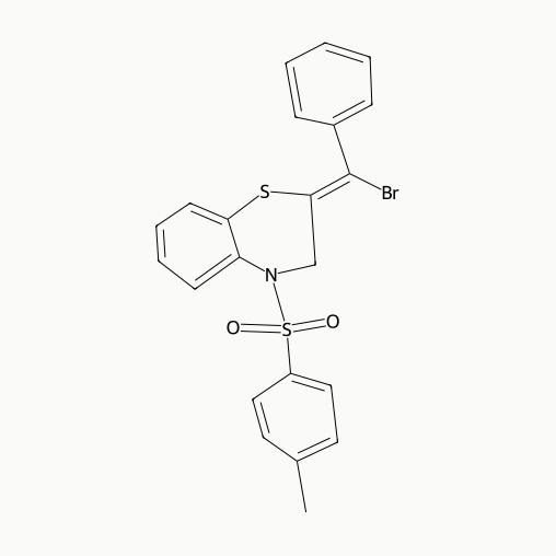 Cc1ccc(S(=O)(=O)N2C/C(=C(\Br)c3ccccc3)Sc3ccccc32)cc1